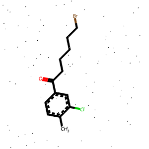 Cc1ccc(C(=O)CCCCCBr)cc1Cl